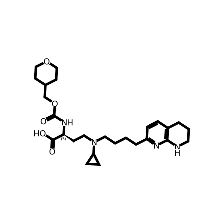 O=C(N[C@@H](CCN(CCCCc1ccc2c(n1)NCCC2)C1CC1)C(=O)O)OCC1CCOCC1